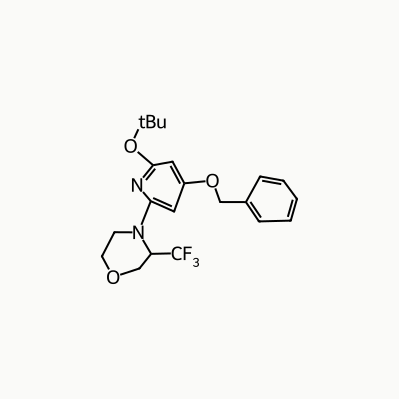 CC(C)(C)Oc1cc(OCc2ccccc2)cc(N2CCOCC2C(F)(F)F)n1